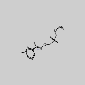 C/C(=N\OCC(C)(C)CON)c1cccc(C)n1